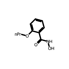 CCCOc1ccccc1C(=O)NO